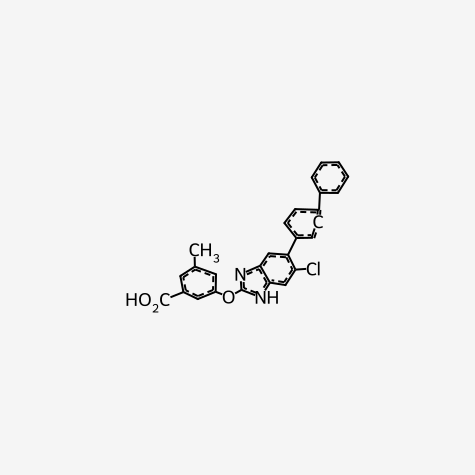 Cc1cc(Oc2nc3cc(-c4ccc(-c5ccccc5)cc4)c(Cl)cc3[nH]2)cc(C(=O)O)c1